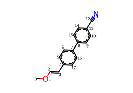 COC=Cc1ccc(-c2ccc(C#N)cc2)cc1